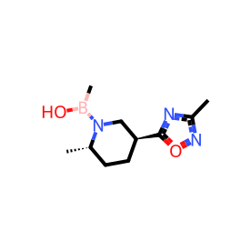 CB(O)N1C[C@@H](c2nc(C)no2)CC[C@@H]1C